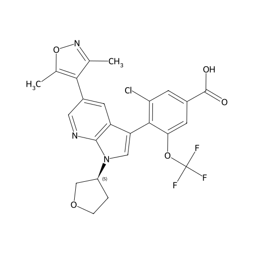 Cc1noc(C)c1-c1cnc2c(c1)c(-c1c(Cl)cc(C(=O)O)cc1OC(F)(F)F)cn2[C@H]1CCOC1